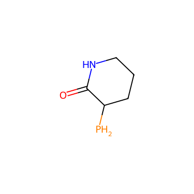 O=C1NCCCC1P